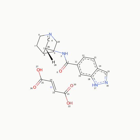 O=C(N[C@H]1CN2CCC1CC2)c1ccc2cn[nH]c2c1.O=C(O)/C=C/C(=O)O